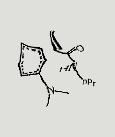 C=CC(=O)NCCC.CN(C)c1ccccc1